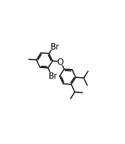 Cc1cc(Br)c(Oc2ccc(C(C)C)c(C(C)C)c2)c(Br)c1